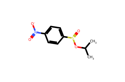 CC(C)OS(=O)c1ccc([N+](=O)[O-])cc1